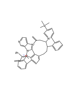 C=C/C(=C(\C)n1c2[n+](c3ccncc31)C(=C)CC1C(CCc3ccc4c(oc5ccccc54)c3-2)c2ccccc2-c2ccc([Si](C)(C)C)c[n+]21)C(C)C